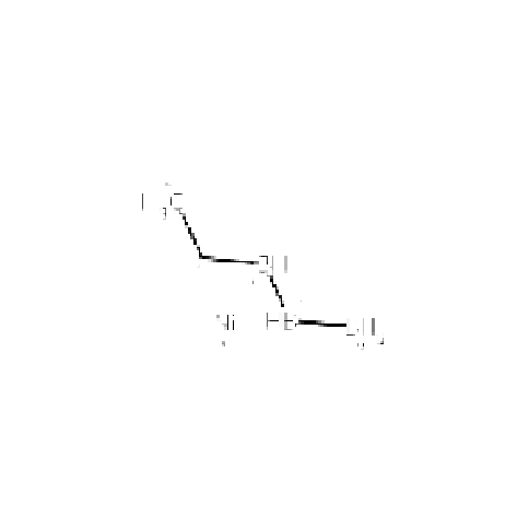 BBBCC.[Ni]